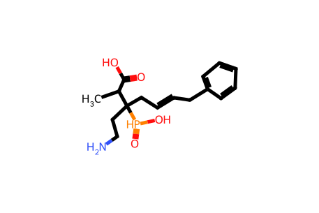 CC(C(=O)O)C(CC=CCc1ccccc1)(CCN)[PH](=O)O